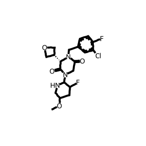 COC1CNC(N2CC(=O)N(Cc3ccc(F)c(Cl)c3)[C@@H](C3COC3)C2=O)C(F)C1